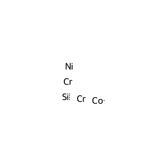 [Co].[Cr].[Cr].[Ni].[Si]